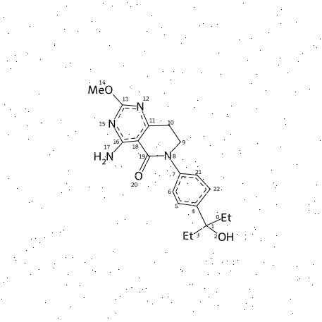 CCC(O)(CC)c1ccc(N2CCc3nc(OC)nc(N)c3C2=O)cc1